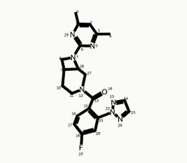 Cc1cc(C)nc(N2CC3CCN(C(=O)c4ccc(F)cc4-n4nccn4)CC32)n1